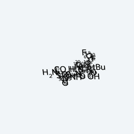 CC(C)(C)C(c1cc(-c2cc(F)ccc2F)cn1Cc1ccccc1)N(CC[C@H](N)C(=O)NCCNC(=O)CN1C(=O)CC(SC[C@H](N)C(=O)O)C1=O)C(=O)CO